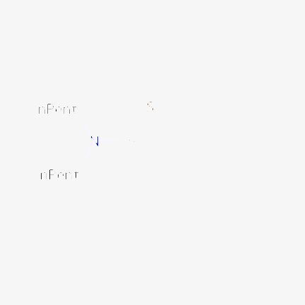 CCCCCN(CCCCC)C(=S)Cc1ccccc1